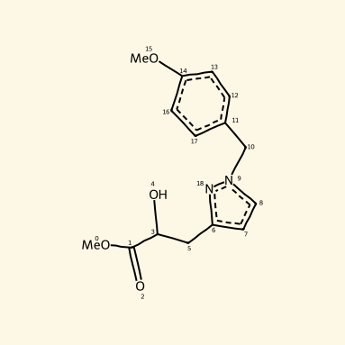 COC(=O)C(O)Cc1ccn(Cc2ccc(OC)cc2)n1